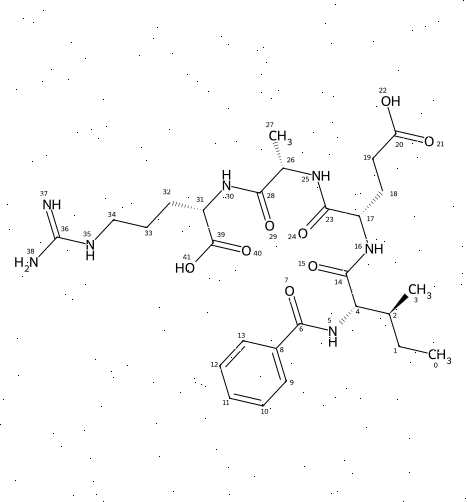 CC[C@H](C)[C@H](NC(=O)c1ccccc1)C(=O)N[C@@H](CCC(=O)O)C(=O)N[C@@H](C)C(=O)N[C@@H](CCCNC(=N)N)C(=O)O